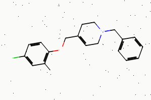 Cc1cc(Cl)ccc1OCC1=CCN(Cc2ccccc2)CC1